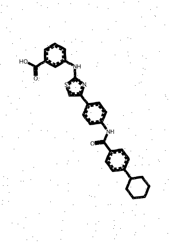 O=C(O)c1cccc(Nc2nc(-c3ccc(NC(=O)c4ccc(C5CCCCC5)cc4)cc3)cs2)c1